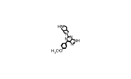 COc1ccc(-c2nc(N3CC4CCNCC4C3)nc3[nH]cnc23)cc1